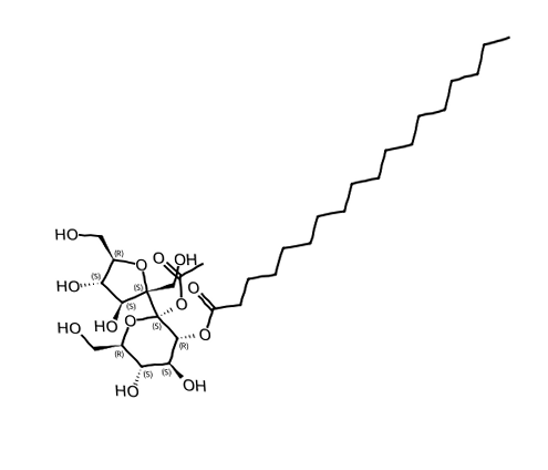 CCCCCCCCCCCCCCCCCC(=O)O[C@@H]1[C@@H](O)[C@H](O)[C@@H](CO)O[C@@]1(OC(C)=O)[C@@]1(CO)O[C@H](CO)[C@@H](O)[C@@H]1O